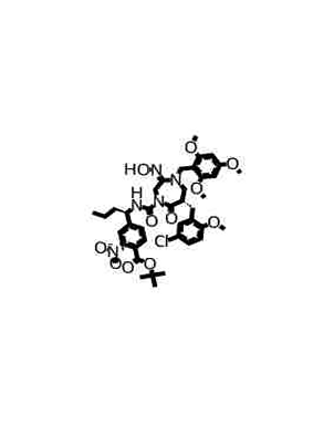 CCC[C@@H](NC(=O)N1C/C(=N\O)N(Cc2c(OC)cc(OC)cc2OC)C[C@H](Cc2cc(Cl)ccc2OC)C1=O)c1ccc(C(=O)OC(C)(C)C)c([N+](=O)[O-])c1